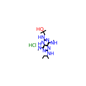 CCC(C)Nc1nc(NC)c2nc(NCC(C)(C)O)nc(NC)c2n1.Cl